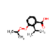 CC(C)OOc1cccc(C(=O)O)c1C(C)C